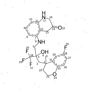 CC1(CC(O)(CNc2cccc3c2CC(=O)CN3)C(F)(F)F)CCOc2ccc(F)cc21